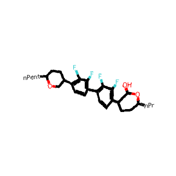 CCCCCC1CCC(c2ccc(-c3ccc(C4CCC(CCC)OC4O)c(F)c3F)c(F)c2F)CO1